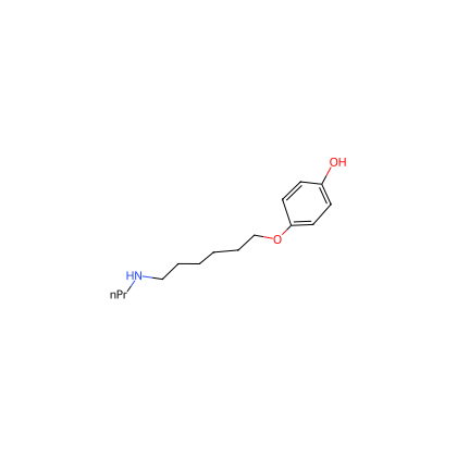 CCCNCCCCCCOc1ccc(O)cc1